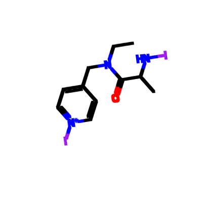 CCN(Cc1cc[n+](I)cc1)C(=O)C(C)NI